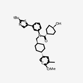 COc1ccc([C@H]2CC[C@H](CN(c3cccc(-c4cnc(C(C)(C)C)s4)c3)C(=O)[C@H]3CC[C@H](O)CC3)CC2)cc1C